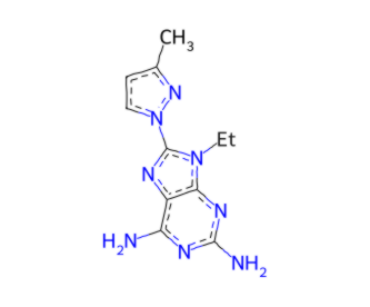 CCn1c(-n2ccc(C)n2)nc2c(N)nc(N)nc21